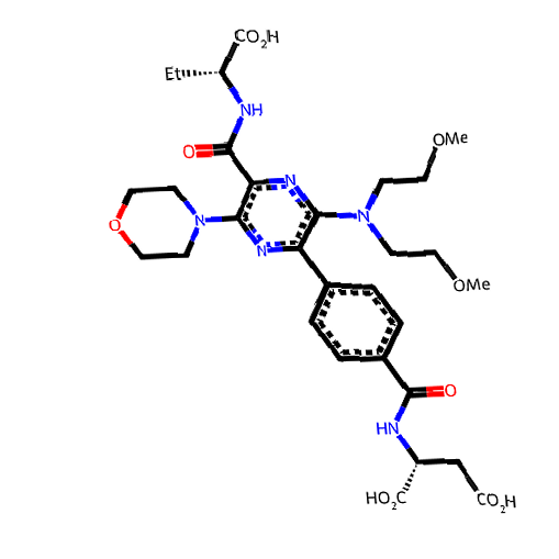 CC[C@@H](NC(=O)c1nc(N(CCOC)CCOC)c(-c2ccc(C(=O)N[C@H](CC(=O)O)C(=O)O)cc2)nc1N1CCOCC1)C(=O)O